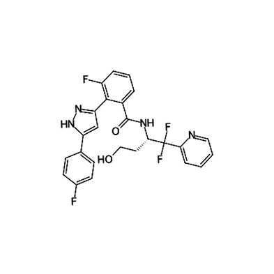 O=C(N[C@@H](CCO)C(F)(F)c1ccccn1)c1cccc(F)c1-c1cc(-c2ccc(F)cc2)[nH]n1